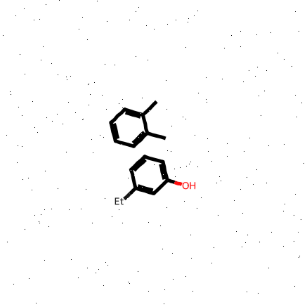 CCc1cccc(O)c1.Cc1ccccc1C